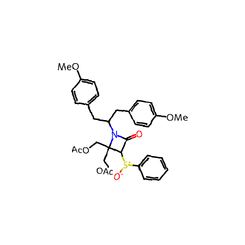 COc1ccc(CC(Cc2ccc(OC)cc2)N2C(=O)C([S+]([O-])c3ccccc3)C2(COC(C)=O)COC(C)=O)cc1